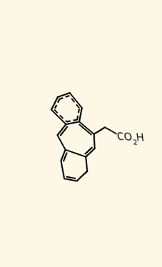 O=C(O)CC1=c2ccccc2=CC2=CC=CCC2=C1